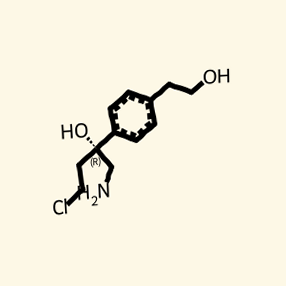 NC[C@@](O)(CCCl)c1ccc(CCO)cc1